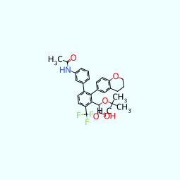 CC(=O)Nc1cccc(-c2ccc(C(F)(F)F)c(C(OC(C)(C)C)C(=O)O)c2-c2ccc3c(c2)CCCO3)c1